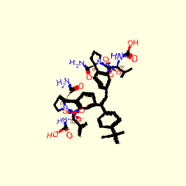 CC(C)[C@H](NC(=O)O)C(=O)N1CCC[C@@]1(C(N)=O)c1ccc(C=C(c2ccc(C(C)(C)C)cc2)c2ccc([C@]3(C(N)=O)CCCN3C(=O)[C@@H](NC(=O)O)C(C)C)c([N+](=O)[O-])c2)cc1[N+](=O)[O-]